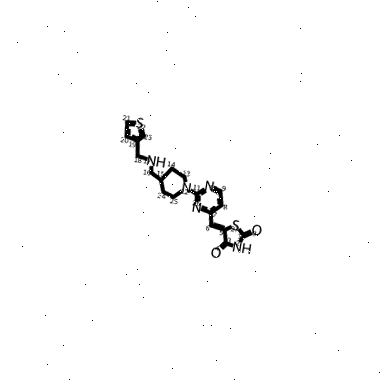 O=C1NC(=O)/C(=C/c2ccnc(N3CCC(CNCc4ccsc4)CC3)n2)S1